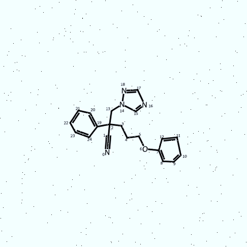 N#CC(CCCOc1ccccc1)(Cn1cncn1)c1ccccc1